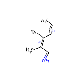 C/C=C\C(=C(\C)C=N)C(C)C